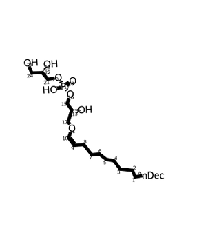 CCCCCCCCCCCCCCCCCC/C=C\OC[C@@H](O)COP(=O)(O)OC[C@@H](O)CO